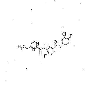 CCc1ccnc(NC2CCc3c(C(=O)Nc4ccc(F)c(Cl)c4)ccc(F)c32)n1